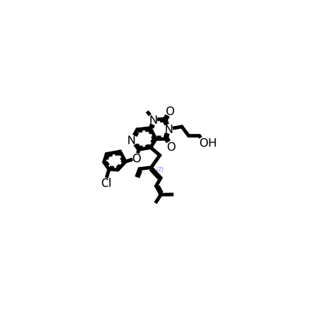 C=C/C(=C\C=C(C)C)Cc1c(Oc2cccc(Cl)c2)ncc2c1c(=O)n(CCCO)c(=O)n2C